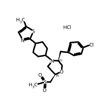 Cc1cnc(C2CCC(N3C[C@H](CS(C)(=O)=O)OC[C@@H]3Cc3ccc(Cl)cc3)CC2)s1.Cl